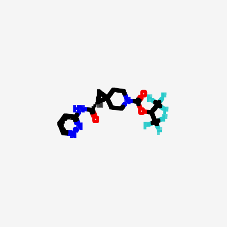 O=C(Nc1cccnn1)[C@@H]1CC12CCN(C(=O)OC(C(F)(F)F)C(F)(F)F)CC2